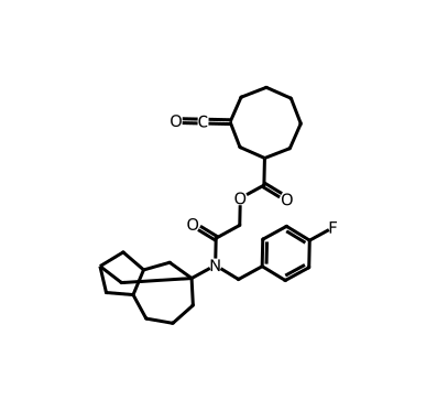 O=C=C1CCCCCC(C(=O)OCC(=O)N(Cc2ccc(F)cc2)C23CCCC4CC(CC4C2)C3)C1